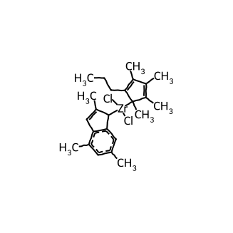 CCCC1=C(C)C(C)=C(C)[C]1(C)[Zr]([Cl])([Cl])[CH]1C(C)=Cc2c(C)cc(C)cc21